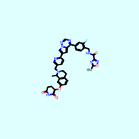 CC1c2cc(OC3CCC(=O)NC3=O)ccc2CCN1Cc1ccc(-c2cc3c(-c4ccc(CNC(=O)c5noc(C(C)(C)C)n5)c(F)c4)ncnn3c2)nc1